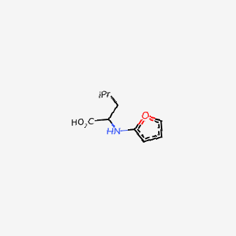 CC(C)CC(Nc1ccco1)C(=O)O